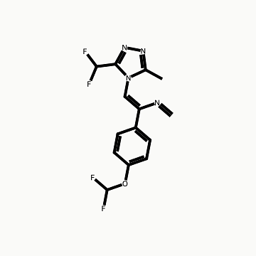 C=N/C(=C\n1c(C)nnc1C(F)F)c1ccc(OC(F)F)cc1